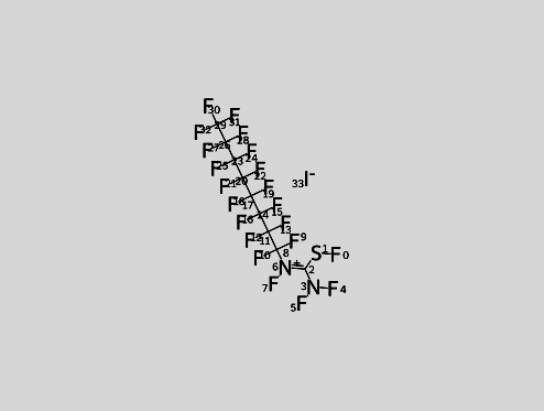 FSC(N(F)F)=[N+](F)C(F)(F)C(F)(F)C(F)(F)C(F)(F)C(F)(F)C(F)(F)C(F)(F)C(F)(F)F.[I-]